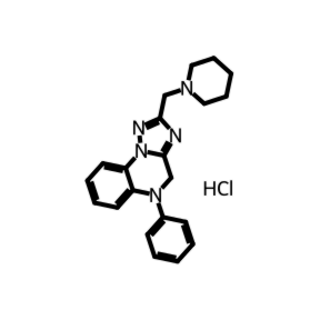 Cl.c1ccc(N2Cc3nc(CN4CCCCC4)nn3-c3ccccc32)cc1